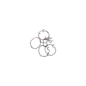 CO[Si](OC)(OC)C(C1=CCCCCCCCCCC1)C(C1=CCCCCCCCCCC1)(C1=CCCCCCCCCCC1)C1=CCCCCCCCCCC1